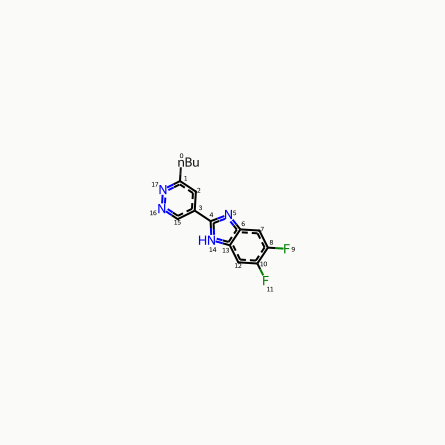 CCCCc1cc(-c2nc3cc(F)c(F)cc3[nH]2)cnn1